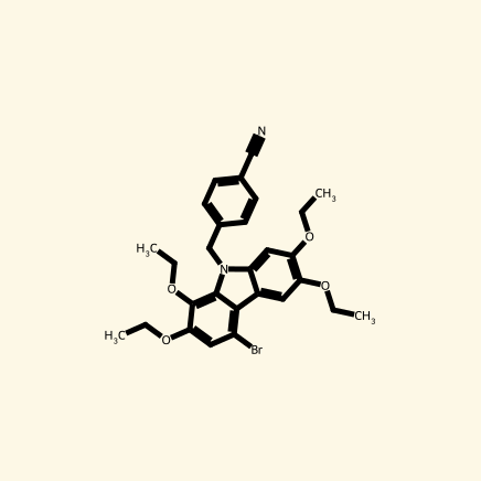 CCOc1cc2c3c(Br)cc(OCC)c(OCC)c3n(Cc3ccc(C#N)cc3)c2cc1OCC